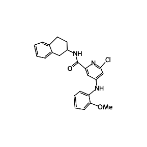 COc1ccccc1Nc1cc(Cl)nc(C(=O)NC2CCc3ccccc3C2)c1